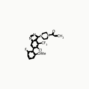 C=CC(=O)N1CCN(c2ncnc3cc(-c4c(F)cccc4OC)c(Cl)c(C(F)(F)F)c23)CC1